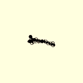 Cc1cc(C)c(/C(C(=O)O)=C(\OCc2ccccc2)C2CCC(OCCOCCN3CCN(CCOCCOCCOCC(=O)OC(C)(C)C)CC3)CC2)c(C)c1